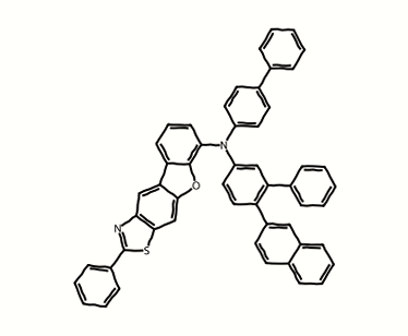 c1ccc(-c2ccc(N(c3ccc(-c4ccc5ccccc5c4)c(-c4ccccc4)c3)c3cccc4c3oc3cc5sc(-c6ccccc6)nc5cc34)cc2)cc1